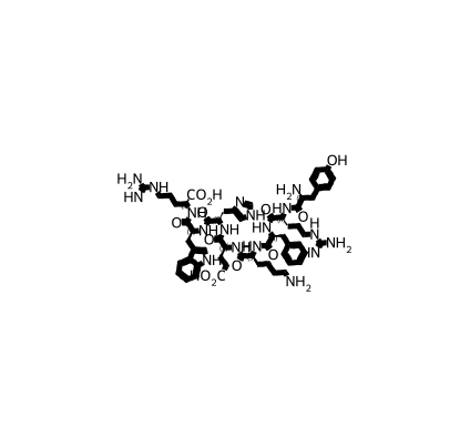 N=C(N)NCCC[C@@H](NC(=O)[C@H](Cc1c[nH]c2ccccc12)NC(=O)[C@H](Cc1c[nH]cn1)NC(=O)[C@H](CCC(=O)O)NC(=O)[C@H](CCCCN)NC(=O)[C@H](Cc1ccccc1)NC(=O)[C@@H](CCCNC(=N)N)NC(=O)[C@@H](N)Cc1ccc(O)cc1)C(=O)O